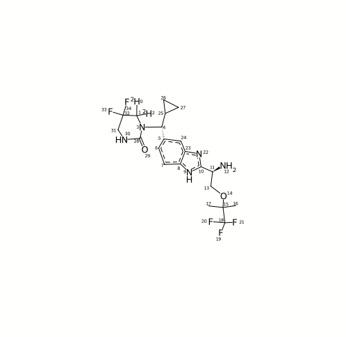 [2H]C1([2H])N([C@@H](c2ccc3[nH]c([C@@H](N)COC(C)(C)C(F)(F)F)nc3c2)C2CC2)C(=O)NCC1(F)F